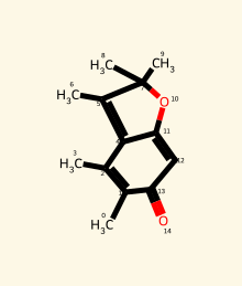 CC1=C(C)C2=C(C)C(C)(C)OC2=CC1=O